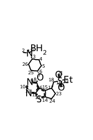 BN(C)[C@H]1CC[C@H](Oc2ncnc3sc4c(c23)C(CS(=O)(=O)CC)CC4)CC1